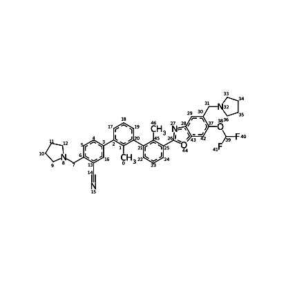 Cc1c(-c2ccc(CN3CCCC3)c(C#N)c2)cccc1-c1cccc(-c2nc3cc(CN4CCCC4)c(OC(F)F)cc3o2)c1C